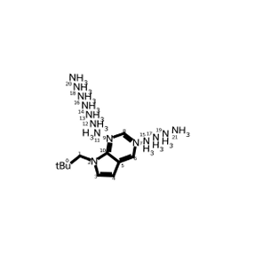 CC(C)(C)Cn1ccc2cncnc21.N.N.N.N.N.N.N.N.N.N.N